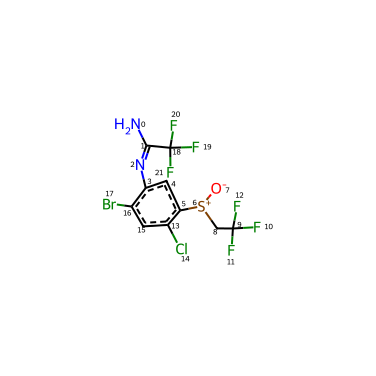 N/C(=N/c1cc([S+]([O-])CC(F)(F)F)c(Cl)cc1Br)C(F)(F)F